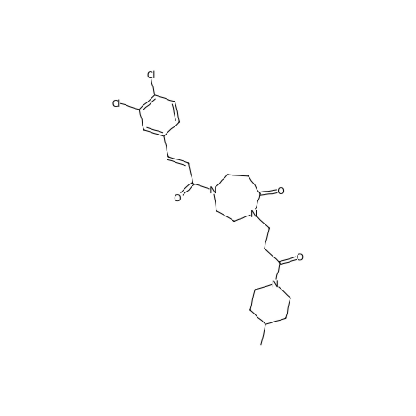 CC1CCN(C(=O)CCN2CCN(C(=O)C=Cc3ccc(Cl)c(Cl)c3)CCC2=O)CC1